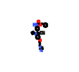 N#Cc1c(-c2ccc(NC(=O)OCc3ccccc3)cc2)n(C2CCC2)c2ccc(OCCCn3ccnc3)cc12